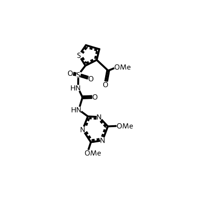 COC(=O)c1ccsc1S(=O)(=O)NC(=O)Nc1nc(OC)nc(OC)n1